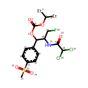 CCC(CC)OC(=O)OC(c1ccc(S(C)(=O)=O)cc1)C(CF)NC(=O)C(Cl)Cl